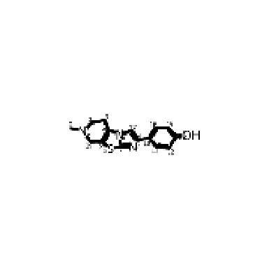 CN1CCc2c(sc3nc(-c4ccc(O)cc4)cn23)C1